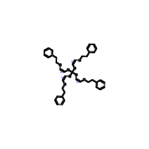 C(=C/OC(O/C=C\OCCc1ccccc1)(O/C=C\OCCc1ccccc1)O/C=C\OCCc1ccccc1)/OCCc1ccccc1